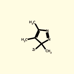 CC1=C(C)[C](C)([Zr])N=N1